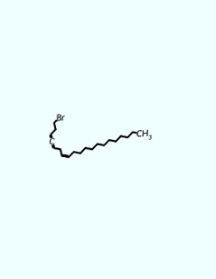 CCCCCCCCCCCC/C=C\CC=C=CCCBr